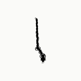 CC#CC#CC#CC#CC#CC#CC#CC#CC#CC#CC(=O)OCCOCCOS(=O)(=O)c1ccc(C)cc1